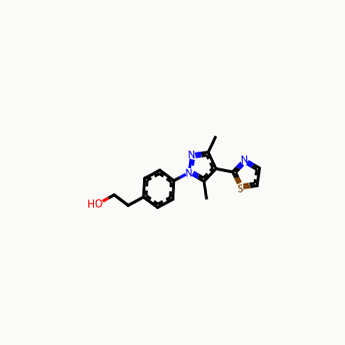 Cc1nn(-c2ccc(CCO)cc2)c(C)c1-c1nccs1